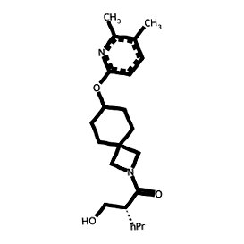 CCC[C@H](CO)C(=O)N1CC2(CCC(Oc3ccc(C)c(C)n3)CC2)C1